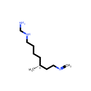 C=NCC[C@H](C)CCCCNCN